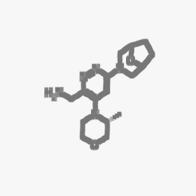 C[C@@H]1COCCN1c1cc(N2CC3CCC(C2)O3)nnc1CN